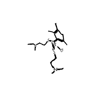 CC1=C(C)[C]([Zr]([Cl])([S]CCN(C)C)[S]CCN(C)C)=C(C)C1